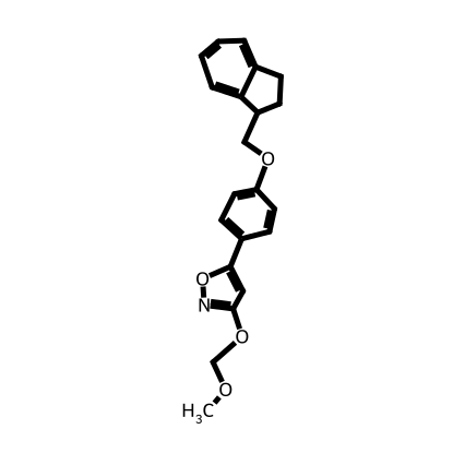 COCOc1cc(-c2ccc(OCC3CCc4ccccc43)cc2)on1